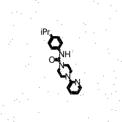 CC(C)c1ccc(NC(=O)N2CCN(c3ccccn3)CC2)cc1